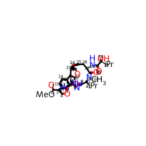 COC(=O)c1coc(-c2nc3oc2[C@]24c5ccccc5NC2Oc2ccc(cc24)C[C@H](NC(=O)[C@@H](O)C(C)C)C(=O)N(C)C3C(C)C)n1